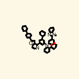 Cn1c(-c2cccc(N(c3cc(-c4ccccc4)cc(-c4nccc5oc(-c6ccc(-c7ccccc7)cc6)cc45)c3)c3ccccc3-c3ccccc3)c2)nc2ccccc21